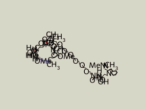 CNN(C)Cc1cc2ccccc2n1CCC(=O)N[C@@H](CO)C(=O)NCCOCCOCCOCCOCCOCCOCCC(=O)N(C)[C@@H](C)C(=O)O[C@H]1CC(=O)N(C)c2cc(cc(OC)c2Cl)C/C(C)=C/C=C/[C@@H](OC)[C@@]2(O)C[C@H](OC(=O)N2)C2(C)C[C@@]1(C)O2